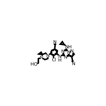 N#Cc1cc(Nc2nc(NC3CC3)n3ncc(C#N)c3n2)c(Cl)c(N2CCN(CCO)C3(CC3)C2)c1